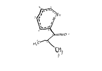 CC(C)C(=O)c1ccccn1